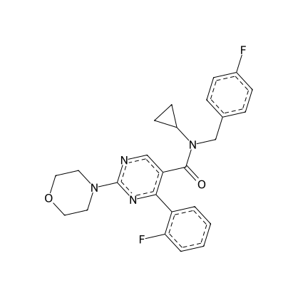 O=C(c1cnc(N2CCOCC2)nc1-c1ccccc1F)N(Cc1ccc(F)cc1)C1CC1